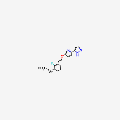 O=C(O)C1C[C@H]1c1cccc(CCOc2ccc(-c3ccn[nH]3)nc2)c1F